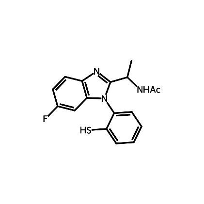 CC(=O)NC(C)c1nc2ccc(F)cc2n1-c1ccccc1S